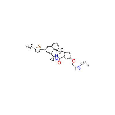 Cc1ccc(-c2cc(C3(NC(=O)c4cc(OCC5CCN5C)ccc4C)CC3)c3ccccc3c2)s1